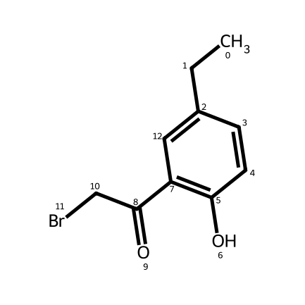 CCc1ccc(O)c(C(=O)CBr)c1